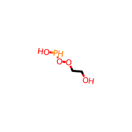 OCCOOPO